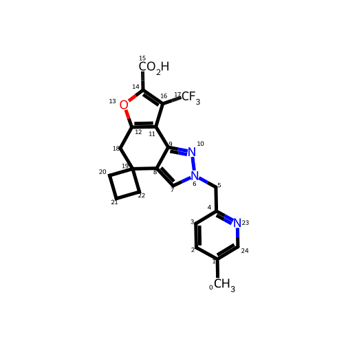 Cc1ccc(Cn2cc3c(n2)-c2c(oc(C(=O)O)c2C(F)(F)F)CC32CCC2)nc1